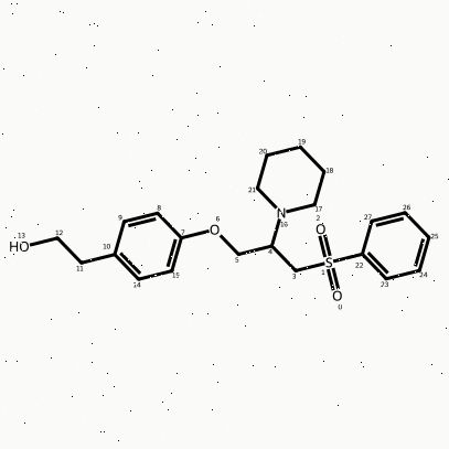 O=S(=O)(CC(COc1ccc(CCO)cc1)N1CCCCC1)c1ccccc1